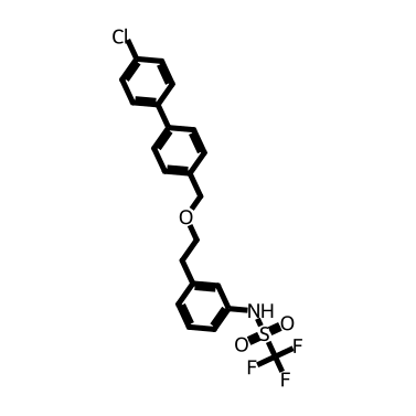 O=S(=O)(Nc1cccc(CCOCc2ccc(-c3ccc(Cl)cc3)cc2)c1)C(F)(F)F